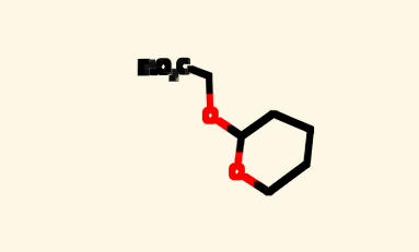 CCOC(=O)COC1CCCCO1